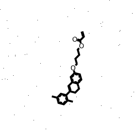 C=CC(=O)OCCCCOc1ccc2c(c1)C=C(c1cc(C)ccc1C)CC2